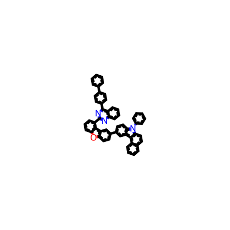 c1ccc(-c2ccc(-c3nc(-c4cccc5oc6ccc(-c7ccc8c(c7)c7c9ccccc9ccc7n8-c7ccccc7)cc6c45)nc4ccccc34)cc2)cc1